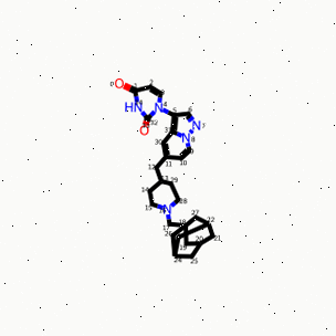 O=c1ccn(-c2cnn3ccc(CC4CCN(CC56CC7CC(CC(C7)C5)C6)CC4)cc23)c(=O)[nH]1